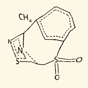 C.O=S1(=O)c2cccc(c2)-c2nsc1n2